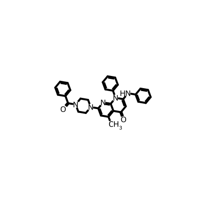 Cc1cc(N2CCN(C(=O)c3ccccc3)CC2)nc2c1c(=O)cc(Nc1ccccc1)n2-c1ccccc1